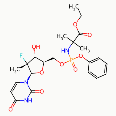 CCOC(=O)C(C)(C)NP(=O)(OC[C@H]1O[C@@H](n2ccc(=O)[nH]c2=O)[C@](C)(F)[C@@H]1O)Oc1ccccc1